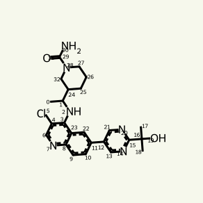 CC(Nc1c(Cl)cnc2ccc(-c3cnc(C(C)(C)O)nc3)cc12)C1CCCN(C(N)=O)C1